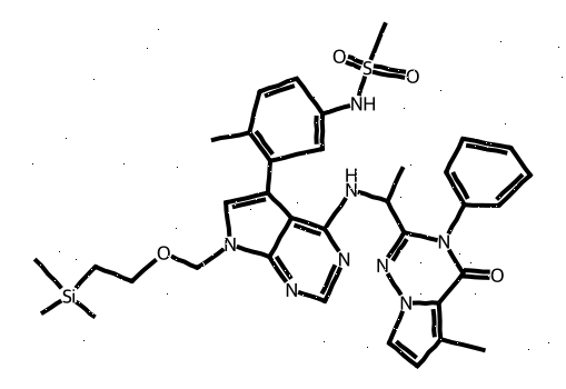 Cc1ccc(NS(C)(=O)=O)cc1-c1cn(COCC[Si](C)(C)C)c2ncnc(NC(C)c3nn4ccc(C)c4c(=O)n3-c3ccccc3)c12